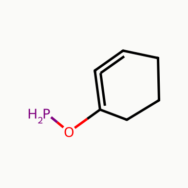 POC1=C=CCCC1